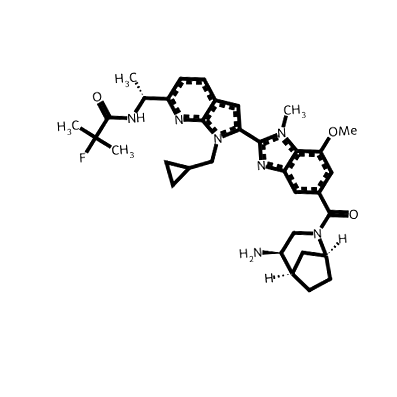 COc1cc(C(=O)N2C[C@H](N)[C@@H]3CC[C@H]2C3)cc2nc(-c3cc4ccc([C@@H](C)NC(=O)C(C)(C)F)nc4n3CC3CC3)n(C)c12